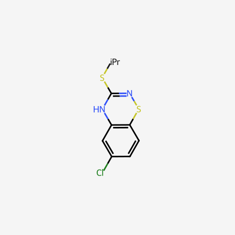 CC(C)SC1=NSc2ccc(Cl)cc2N1